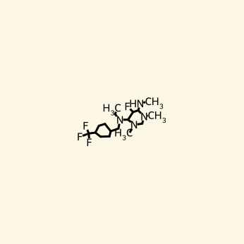 CCN(CC1CCC(C(F)(F)F)CC1)C1C(F)C(NC)N(C)CN1C